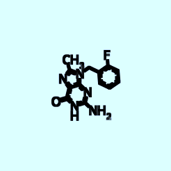 Cc1nc2c(=O)[nH]c(N)nc2n1Cc1ccccc1F